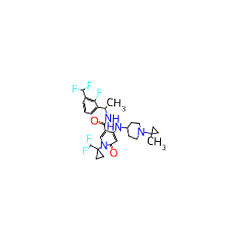 C[C@@H](NC(=O)c1cn(C2(C(F)F)CC2)c(=O)cc1NC1CCN(C2(C)CC2)CC1)c1cccc(C(F)F)c1F